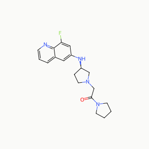 O=C(CN1CC[C@@H](Nc2cc(F)c3ncccc3c2)C1)N1CCCC1